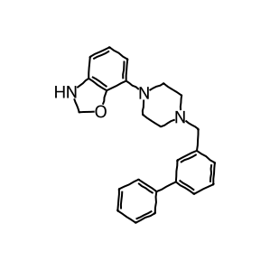 c1ccc(-c2cccc(CN3CCN(c4cccc5c4OCN5)CC3)c2)cc1